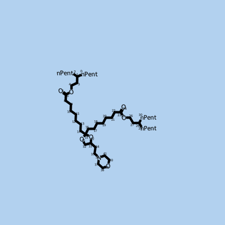 CCCCCC(CCCCC)CCOC(=O)CCCCCCCC1(CCCCCCCC(=O)OCCC(CCCCC)CCCCC)OCC(CCN2CCOCC2)O1